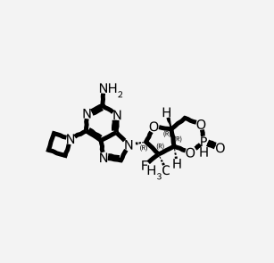 C[C@@]1(F)[C@@H]2O[PH](=O)OC[C@H]2O[C@H]1n1cnc2c(N3CCC3)nc(N)nc21